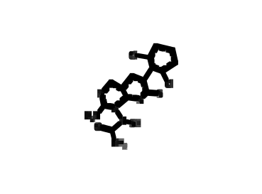 NC(=O)N(S)n1c(N)ncc2cc(-c3c(Cl)cccc3Cl)c(=S)nc1-2